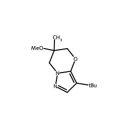 COC1(C)COc2c(C(C)(C)C)cnn2C1